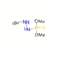 CCCCNNP(=S)(OC)OC